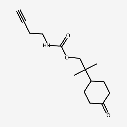 C#CCCNC(=O)OCC(C)(C)C1CCC(=O)CC1